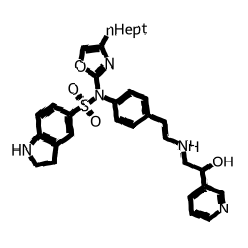 CCCCCCCc1coc(N(c2ccc(CCNCC(O)c3cccnc3)cc2)S(=O)(=O)c2ccc3c(c2)CCN3)n1